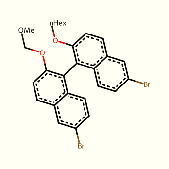 CCCCCCOc1ccc2cc(Br)ccc2c1-c1c(OCOC)ccc2cc(Br)ccc12